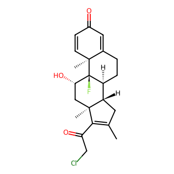 CC1=C(C(=O)CCl)[C@@]2(C)C[C@H](O)[C@@]3(F)[C@@H](CCC4=CC(=O)C=C[C@@]43C)[C@@H]2C1